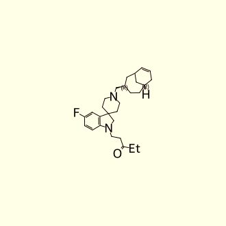 CCC(=O)CCN1CC2(CCN(C[C@@H]3CC[C@H]4CC=CC(C4)C3)CC2)c2cc(F)ccc21